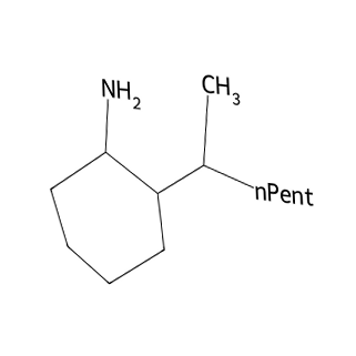 CCCCCC(C)C1CCCCC1N